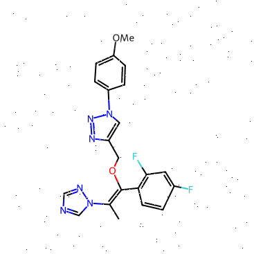 COc1ccc(-n2cc(CO/C(=C(/C)n3cncn3)c3ccc(F)cc3F)nn2)cc1